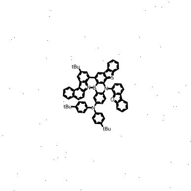 CC(C)(C)c1ccc(N(c2ccc(C(C)(C)C)cc2)c2ccc3c(c2)B2c4c(cc5c(sc6ccccc65)c4N3c3cccc4c3oc3ccccc34)-c3cc(C(C)(C)C)cc4c5c6ccccc6ccc5n2c34)cc1